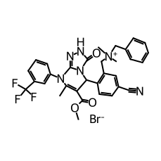 COC(=O)C1=C(C)N(c2cccc(C(F)(F)F)c2)c2n[nH]c(=O)n2C1c1ccc(C#N)cc1C[N+](C)(C)Cc1ccccc1.[Br-]